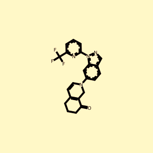 O=C1CCCC2=C1CN(c1ccc3cnn(-c4cccc(C(F)(F)F)n4)c3c1)C=C2